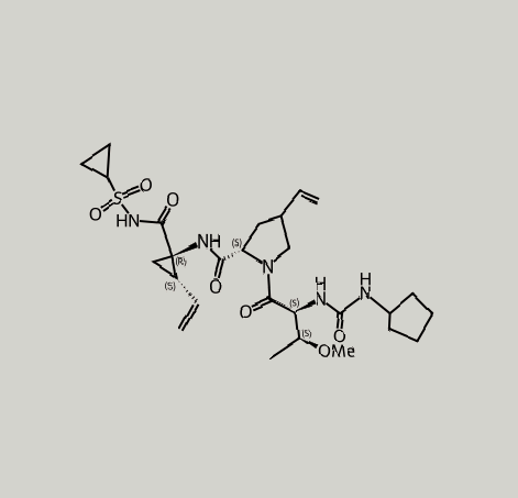 C=CC1C[C@@H](C(=O)N[C@]2(C(=O)NS(=O)(=O)C3CC3)C[C@H]2C=C)N(C(=O)[C@@H](NC(=O)NC2CCCC2)[C@H](C)OC)C1